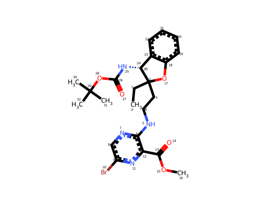 CCC1(CCNc2ncc(Br)nc2C(=O)OC)Oc2ccccc2[C@H]1NC(=O)OC(C)(C)C